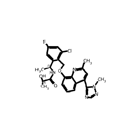 Cc1cc(-c2ncnn2C)c2cccc(OCc3c(Cl)cc(F)cc3[C@H](C)NC(=O)[C@@H](C)O)c2n1